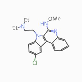 CCN(CC)CCn1c2ccc(Cl)cc2c2c3ccccc3nc(NOC)c21